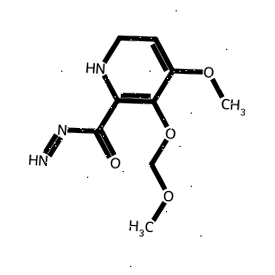 COCOC1=C(C(=O)N=N)NCC=C1OC